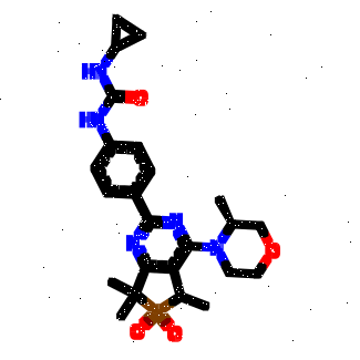 CC1c2c(N3CCOC[C@@H]3C)nc(-c3ccc(NC(=O)NC4CC4)cc3)nc2C(C)(C)S1(=O)=O